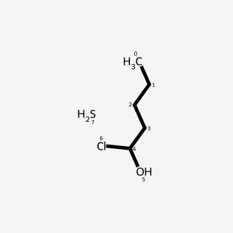 CCCCC(O)Cl.S